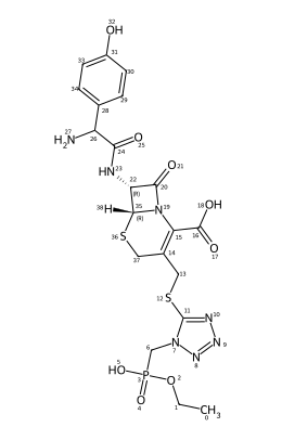 CCOP(=O)(O)Cn1nnnc1SCC1=C(C(=O)O)N2C(=O)[C@@H](NC(=O)C(N)c3ccc(O)cc3)[C@H]2SC1